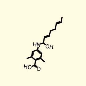 C/C=C/CC/C=C/C(O)Nc1cc(C)c(C(=O)O)c(C)c1